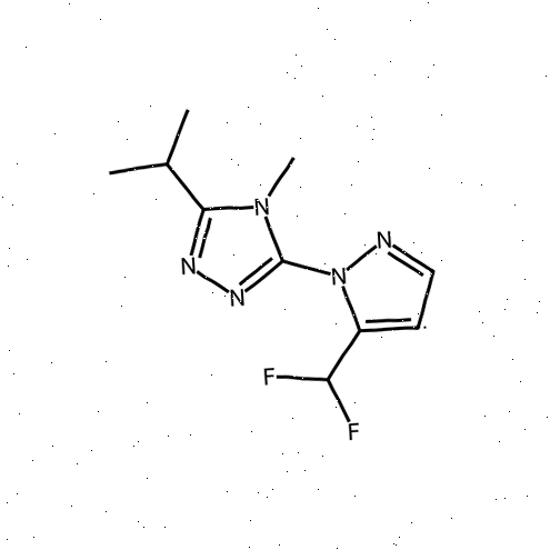 CC(C)c1nnc(-n2nc[c]c2C(F)F)n1C